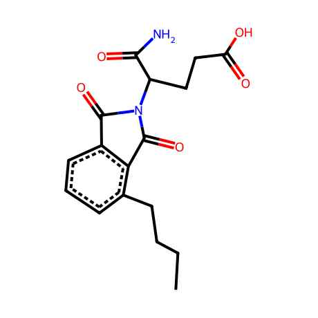 CCCCc1cccc2c1C(=O)N(C(CCC(=O)O)C(N)=O)C2=O